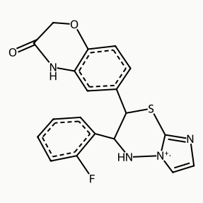 O=C1COc2ccc(C3SC4=NC=C[N+]4NC3c3ccccc3F)cc2N1